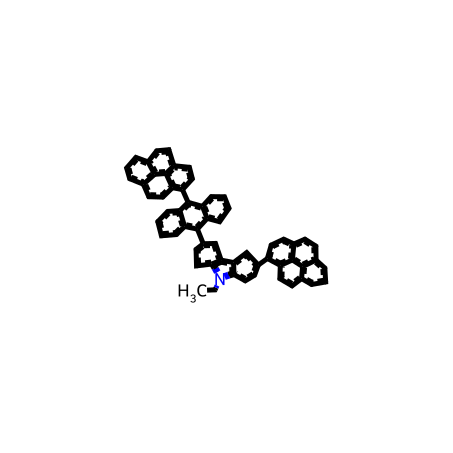 CCn1c2ccc(-c3c4ccccc4c(-c4ccc5ccc6cccc7ccc4c5c67)c4ccccc34)cc2c2cc(-c3ccc4ccc5cccc6ccc3c4c56)ccc21